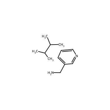 CC(C)C(C)C.NCc1cccnc1